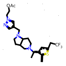 C=c1sc(CC(F)(F)F)c/c1=C(/C)N1CCC2C(CCN2Cc2cnn(CCOC(C)=O)c2)C1